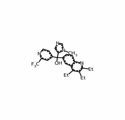 CCc1nc2ccc(C(O)(c3ccnc(C(F)(F)F)c3)c3cncn3C)cc2c(CC)c1CC